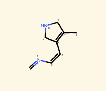 C=N/C=C\C1=C(C)CNC1